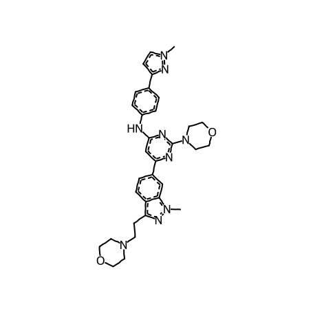 Cn1ccc(-c2ccc(Nc3cc(-c4ccc5c(CCN6CCOCC6)nn(C)c5c4)nc(N4CCOCC4)n3)cc2)n1